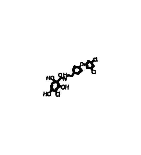 O=C(NCCc1ccc(Oc2cc(Cl)cc(Cl)c2)cc1)c1c(O)cc(O)c(Cl)c1O